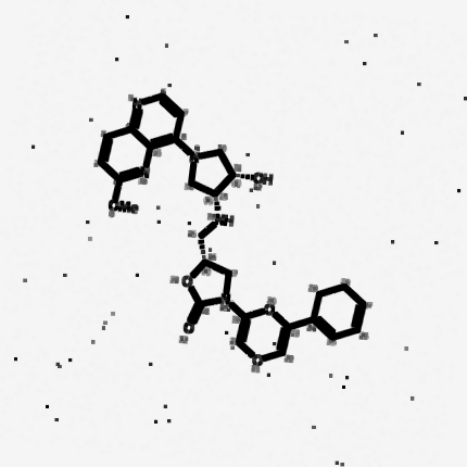 COc1ccc2nccc(N3C[C@H](O)[C@H](NC[C@@H]4CN(C5=COC=C(C6=CC=CCC6)O5)C(=O)O4)C3)c2n1